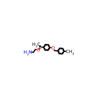 CB(OCCN)c1ccc(OCc2ccc(C)cc2)cc1